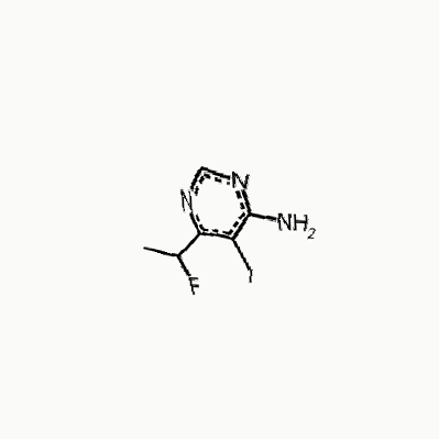 CC(F)c1ncnc(N)c1I